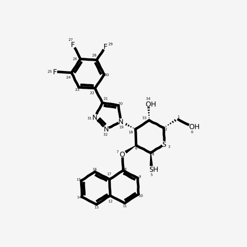 OC[C@@H]1S[C@@H](S)[C@@H](Oc2cccc3ccccc23)[C@H](n2cc(-c3cc(F)c(F)c(F)c3)nn2)[C@@H]1O